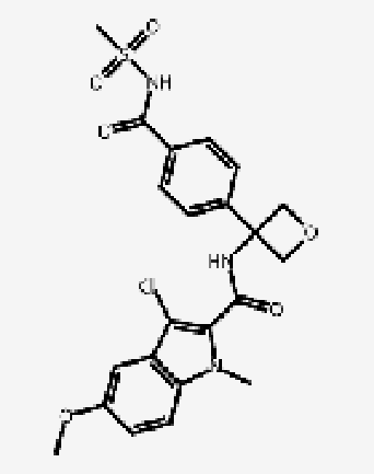 COc1ccc2c(c1)c(Cl)c(C(=O)NC1(c3ccc(C(=O)NS(C)(=O)=O)cc3)COC1)n2C